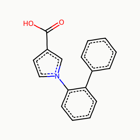 O=C(O)c1ccn(-c2ccccc2-c2ccccc2)c1